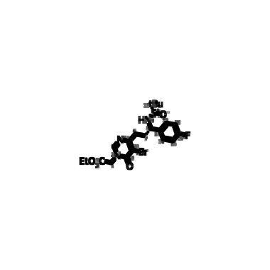 CCOC(=O)Cn1cnc(CC[C@H](N[S@+]([O-])C(C)(C)C)c2ccc(F)cc2)c(Br)c1=O